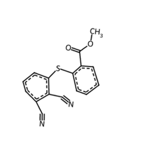 COC(=O)c1ccccc1Sc1cccc(C#N)c1C#N